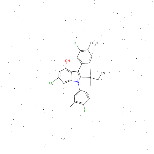 Cc1cc(-n2c(C(C)(C)CC#N)c(-c3ccc(C(=O)O)c(F)c3)c3c(O)cc(Cl)cc32)ccc1F